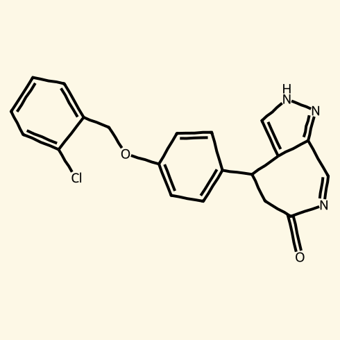 O=C1CC(c2ccc(OCc3ccccc3Cl)cc2)c2c[nH]nc2C=N1